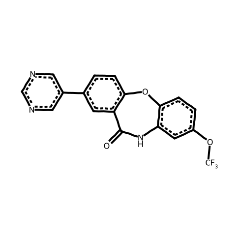 O=C1Nc2cc(OC(F)(F)F)ccc2Oc2ccc(-c3cncnc3)cc21